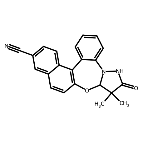 CC1(C)C(=O)NN2c3ccccc3-c3c(ccc4cc(C#N)ccc34)OC21